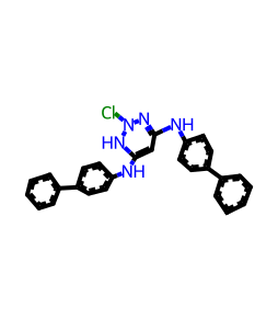 ClN1N=C(Nc2ccc(-c3ccccc3)cc2)C=C(Nc2ccc(-c3ccccc3)cc2)N1